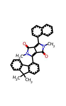 CN1C(=O)C2=C(c3cccc4ccccc34)N(C)C(=O)C2=C1c1cccc2c1-c1ccccc1C2(C)C